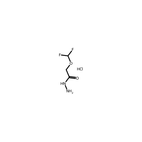 Cl.NNC(=O)COC(F)F